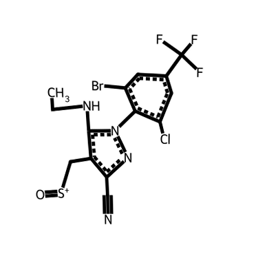 CCNc1c(C[S+]=O)c(C#N)nn1-c1c(Cl)cc(C(F)(F)F)cc1Br